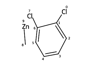 Clc1ccccc1Cl.[CH3][Zn]